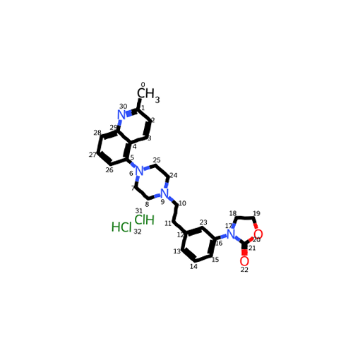 Cc1ccc2c(N3CCN(CCc4cccc(N5CCOC5=O)c4)CC3)cccc2n1.Cl.Cl